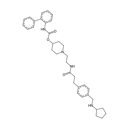 O=C(CCc1ccc(CNC2CCCC2)cc1)NCCN1CCC(OC(=O)Nc2ccccc2-c2ccccc2)CC1